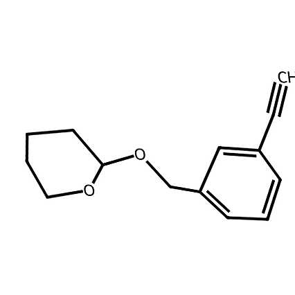 C#Cc1cccc(COC2CCCCO2)c1